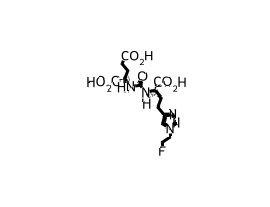 O=C(O)CC[C@H](NC(=O)N[C@@H](CCc1cn(CCF)nn1)C(=O)O)C(=O)O